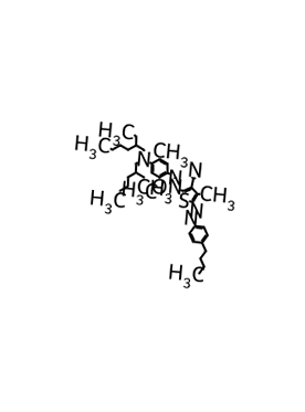 CCCCc1ccc(N=Nc2sc(N=Nc3cc(C)c(N(CC(CC)CCCC)CC(CC)CCCC)cc3OC)c(C#N)c2C)cc1